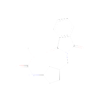 CC(C)(C)OC(=O)NC1CCC(CN2C(=O)c3ccccc3C2=O)C1